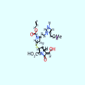 C=CCOC(=O)N1C[C@@H](SC2=C(C(=O)O)N3C(=O)[C@H]([C@@H](C)O)[C@H]3[C@H]2C)C[C@H]1CC[n+]1cn(C)cc1COC.[I-]